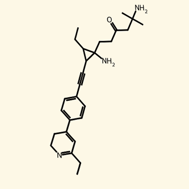 CCC1=NCCC(c2ccc(C#CC3C(CC)C3(N)CCC(=O)CC(C)(C)N)cc2)=C1